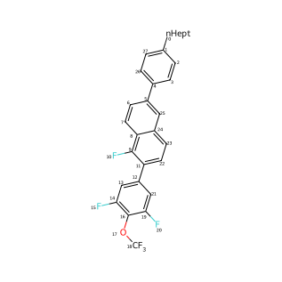 CCCCCCCc1ccc(-c2ccc3c(F)c(-c4cc(F)c(OC(F)(F)F)c(F)c4)ccc3c2)cc1